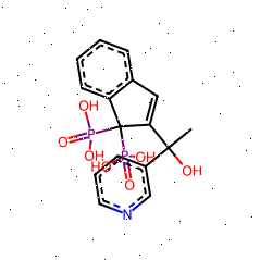 CC(O)(C1=Cc2ccccc2C1(P(=O)(O)O)P(=O)(O)O)c1cccnc1